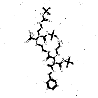 CC(C)(C)OC(=O)NCCN(C(=O)OC(C)(C)C)[C@@H](CCCNC(=O)[C@H](CCCN)N(C(=O)OCc1ccccc1)C(=O)OC(C)(C)C)C(N)=O